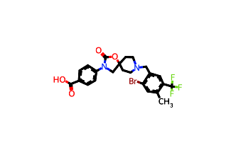 Cc1cc(Br)c(CN2CCC3(CC2)CN(c2ccc(C(=O)O)cc2)C(=O)O3)cc1C(F)(F)F